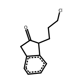 O=C1Cc2ccccc2C1CCCCl